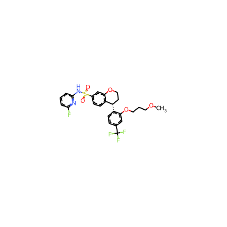 COCCCOc1cc(C(F)(F)F)ccc1[C@H]1CCOc2cc(S(=O)(=O)Nc3cccc(F)n3)ccc21